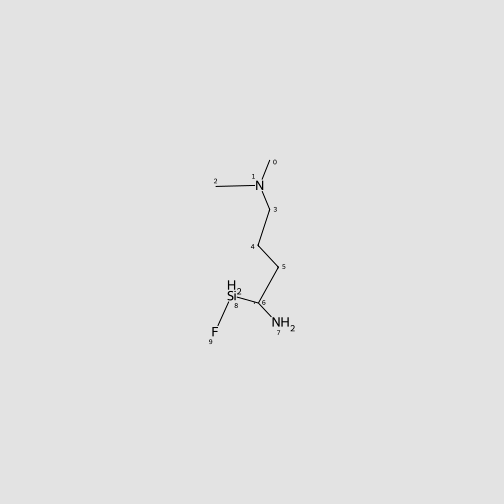 CN(C)CCC[C](N)[SiH2]F